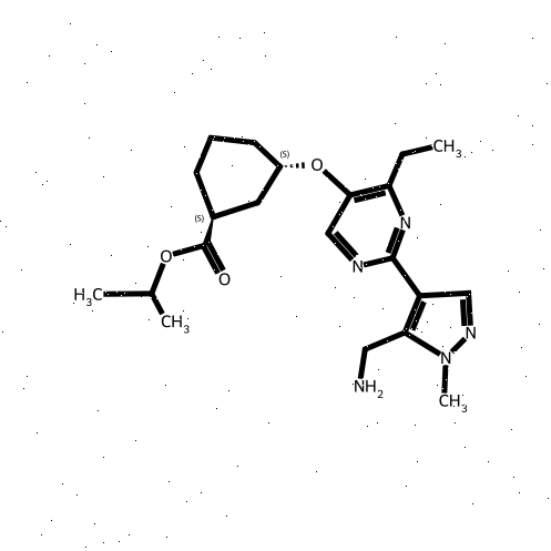 CCc1nc(-c2cnn(C)c2CN)ncc1O[C@H]1CCC[C@H](C(=O)OC(C)C)C1